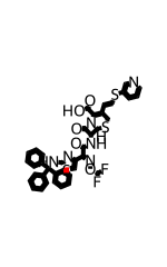 O=C(O)C1=C(/C=C/Sc2cccnc2)CS[C@H]2C(NC(=O)C(=NOC(F)F)c3csc(NC(c4ccccc4)(c4ccccc4)c4ccccc4)n3)C(=O)N12